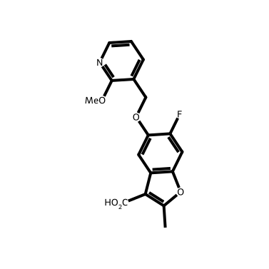 COc1ncccc1COc1cc2c(C(=O)O)c(C)oc2cc1F